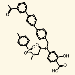 CC(=O)c1cccc(-c2ccc(-c3ccc(CN(C(=O)CN(C)S(=O)(=O)c4ccc(C)cc4)c4ccc(C(=O)O)c(O)c4)cc3)cc2)c1